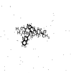 CCC(CC)n1ncc2nc(N3CCN(C(C)=O)CC3)nc(N[C@H](CC)c3cnc4ccccc4c3)c21